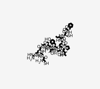 CC[C@H](NC(=O)[C@H](C)NC(=O)[C@H](CCCNC(=N)N)NC(=O)CNC(=O)[C@@H](N)CS)C(=O)N[C@H](C(=O)N[C@@H](Cc1ccc(O)cc1)C(=O)N[C@@H](CO)C(=O)N[C@H](C(=O)N1CCC[C@H]1C(=O)N1CCC[C@H]1C(=O)N[C@H](C(=O)N[C@@H](CS)C(=O)N[C@@H](Cc1ccccc1)C(=O)O)[C@@H](C)CC)[C@@H](C)CC)[C@@H](C)O